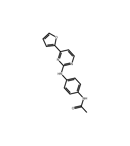 CC(=O)Nc1ccc(Nc2nccc(-c3ccco3)n2)cc1